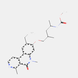 COCc1cc2c3ccnc(C)c3c(=O)n(C)c2cc1OCC(C)CC(C)NC(=O)OC(C)(C)C